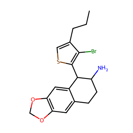 CCCc1csc(C2c3cc4c(cc3CCC2N)OCO4)c1Br